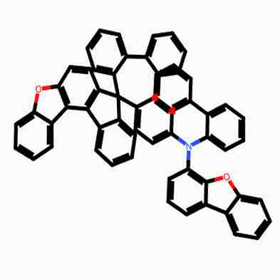 c1ccc(-c2ccccc2N(c2ccc3c(c2)-c2ccccc2-c2ccccc2C32c3ccccc3-c3c2ccc2oc4ccccc4c32)c2cccc3c2oc2ccccc23)cc1